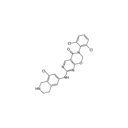 O=C1c2cnc(Nc3cc(Cl)c4c(c3)CCNC4)nc2OCN1c1c(Cl)cccc1Cl